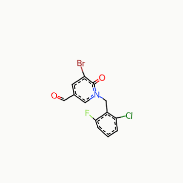 O=Cc1cc(Br)c(=O)n(Cc2c(F)cccc2Cl)c1